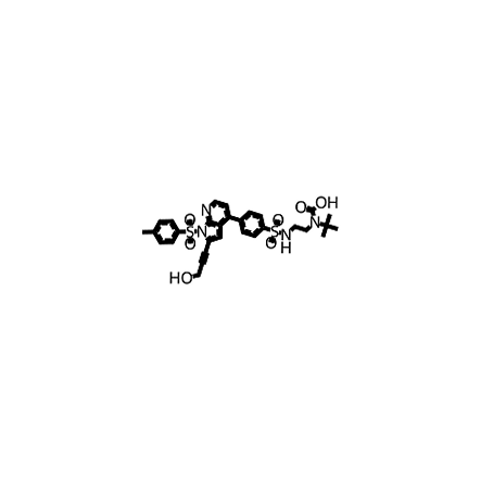 Cc1ccc(S(=O)(=O)n2c(C#CCO)cc3c(-c4ccc(S(=O)(=O)NCCN(C(=O)O)C(C)(C)C)cc4)ccnc32)cc1